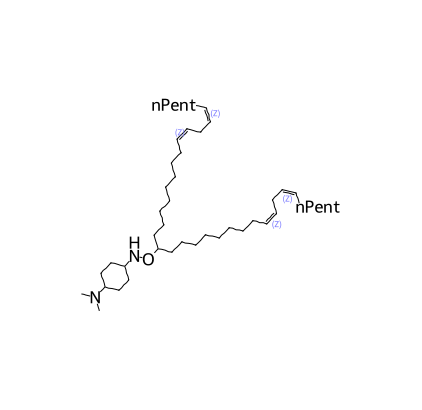 CCCCC/C=C\C/C=C\CCCCCCCCC(CCCCCCCC/C=C\C/C=C\CCCCC)ONC1CCC(N(C)C)CC1